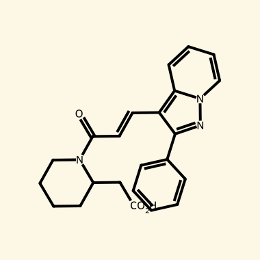 O=C(O)CC1CCCCN1C(=O)/C=C/c1c(-c2ccccc2)nn2ccccc12